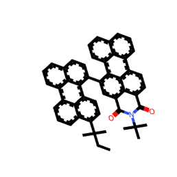 CCC(C)(C)c1ccc2c3c(-c4cc5c6c(ccc7c8cccc9cccc(c4c67)c98)C(=O)N(C(C)(C)C)C5=O)ccc4cccc(c5cccc1c52)c43